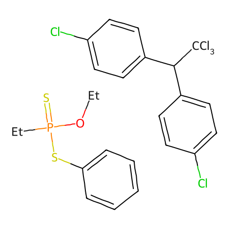 CCOP(=S)(CC)Sc1ccccc1.Clc1ccc(C(c2ccc(Cl)cc2)C(Cl)(Cl)Cl)cc1